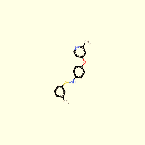 Cc1cc(Oc2ccc(NSc3cccc(C(F)(F)F)c3)cc2)ccn1